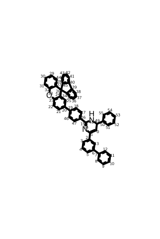 C1=C(c2cccc(-c3ccccc3)c2)N=C(c2ccc(-c3ccc4c(c3)C3(c5ccccc5O4)c4ccccc4-c4ccccc43)cc2)NC1c1ccccc1